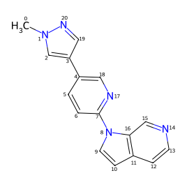 Cn1cc(-c2ccc(-n3ccc4ccncc43)nc2)cn1